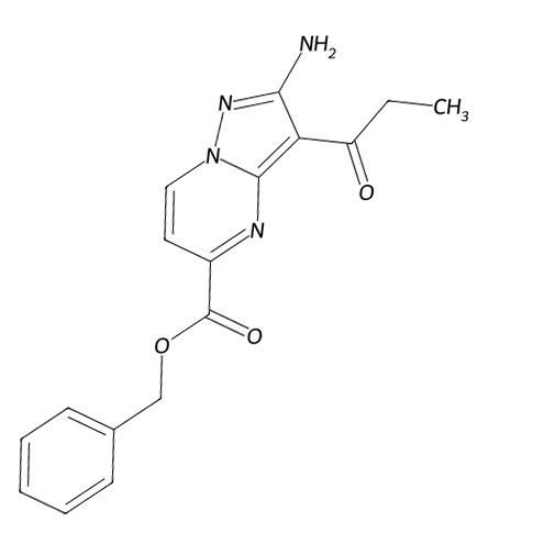 CCC(=O)c1c(N)nn2ccc(C(=O)OCc3ccccc3)nc12